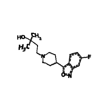 CC(C)(O)CCN1CCC(c2onc3cc(F)ccc23)CC1